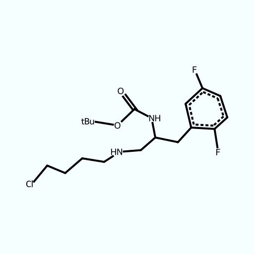 CC(C)(C)OC(=O)NC(CNCCCCCl)Cc1cc(F)ccc1F